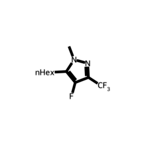 CCCCCCc1c(F)c(C(F)(F)F)nn1C